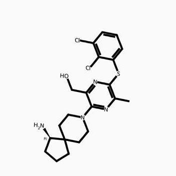 Cc1nc(N2CCC3(CCC[C@H]3N)CC2)c(CO)nc1Sc1cccc(Cl)c1Cl